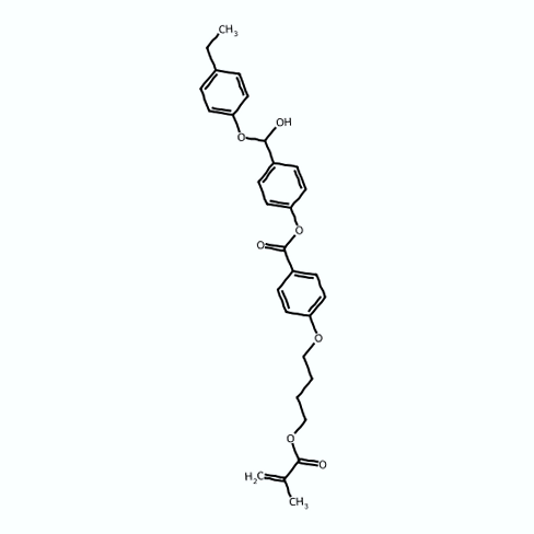 C=C(C)C(=O)OCCCCOc1ccc(C(=O)Oc2ccc(C(O)Oc3ccc(CC)cc3)cc2)cc1